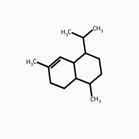 CC1=CC2C(C(C)C)CCC(C)C2CC1